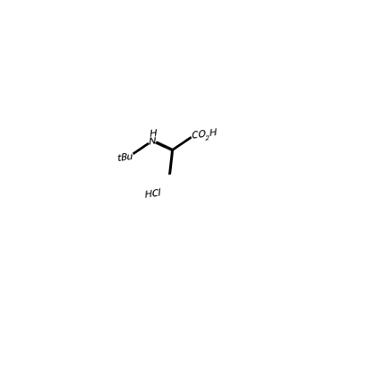 CC(NC(C)(C)C)C(=O)O.Cl